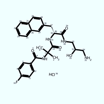 CC(C)(NC(=O)c1ccc(F)cc1)C(=O)N[C@H](Cc1ccc2ccccc2c1)C(=O)NCC(O)CN.Cl